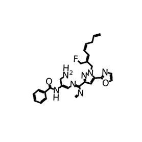 C=CC/C=C\C=C(/CF)Cn1nc(/C(N=C)=N/C=C(\CN)NC(=O)c2ccccc2)cc1-c1ncco1